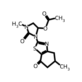 CC(=O)OC1CN(C)C(=O)N1c1nc2c(s1)C(=O)CC(C)C2